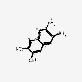 Bc1cc2cc(C)c(C#N)cc2cc1B